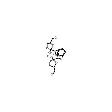 CC1(C2Oc3c4ccc2c3C(C2(C)OCC(CCl)O2)O4)OCC(CCl)O1